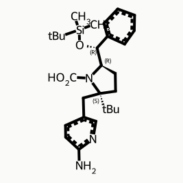 CC(C)(C)[C@@]1(Cc2ccc(N)nc2)CC[C@H]([C@H](O[Si](C)(C)C(C)(C)C)c2ccccc2)N1C(=O)O